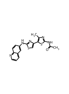 CC(=O)Nc1nc(C)c(-c2csc(Nc3ccc4ncccc4c3)n2)s1